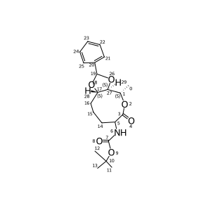 C[C@@H]1OC(=O)C(NC(=O)OC(C)(C)C)CCC[C@@H]2OC(c3ccccc3)O[C@@H]12